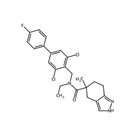 CCN(Cc1c(Cl)cc(-c2ccc(F)cc2)cc1Cl)C(=O)C1(C)CCc2n[nH]cc2C1